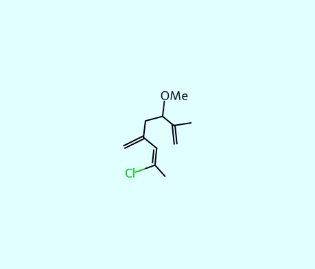 C=C(C=C(C)Cl)CC(OC)C(=C)C